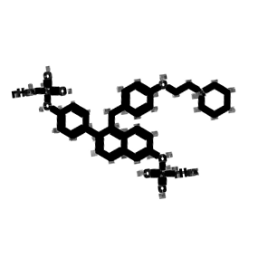 CCCCCCS(=O)(=O)Oc1ccc(-c2ccc3cc(OS(=O)(=O)CCCCCC)ccc3c2Cc2ccc(OCCN3CCCCC3)cc2)cc1